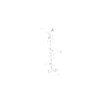 CC(=O)NB(BB(I)I)B(I)B(I)B(O)B(I)B(I)B(I)B(I)B(I)B(I)N(B(I)B(I)B(I)B(I)B(I)B(I)B(O)B(I)B(I)B(BB(I)I)NC(C)=O)C(=O)CO.[Na]